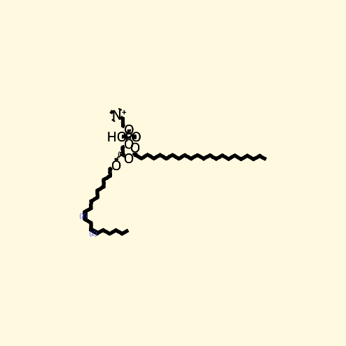 CCCCC/C=C\C/C=C\CCCCCCCCOC[C@H](COP(=O)(O)OCC[N+](C)(C)C)OC(=O)CCCCCCCCCCCCCCCCCCCCC